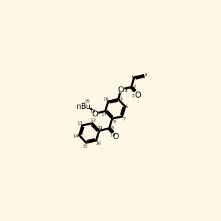 C=CC(=O)Oc1ccc(C(=O)c2ccccc2)c(OCCCC)c1